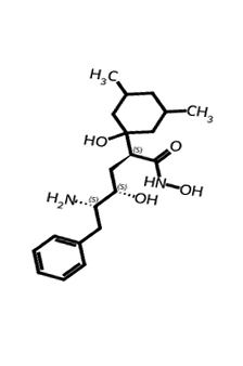 CC1CC(C)CC(O)([C@H](C[C@H](O)[C@@H](N)Cc2ccccc2)C(=O)NO)C1